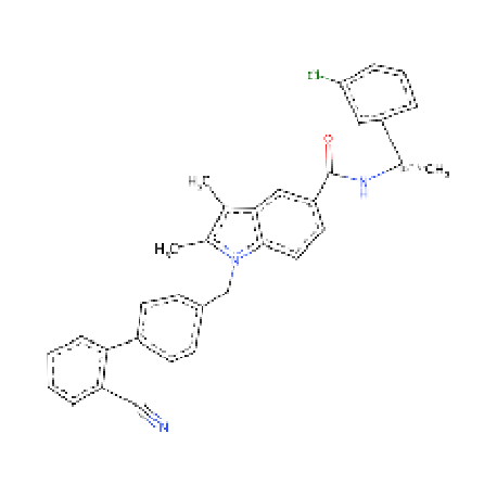 Cc1c(C)n(Cc2ccc(-c3ccccc3C#N)cc2)c2ccc(C(=O)N[C@@H](C)c3cccc(Cl)c3)cc12